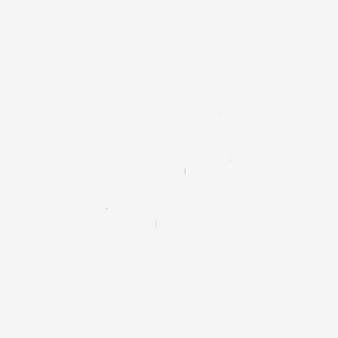 CCC(F)CPCC(F)CC